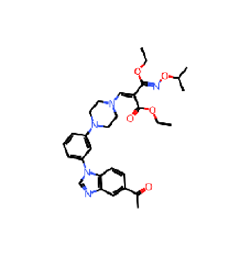 CCOC(=O)C(=CN1CCN(c2cccc(-n3cnc4cc(C(C)=O)ccc43)c2)CC1)C(=NOC(C)C)OCC